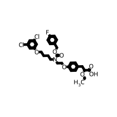 CCOC(Cc1ccc(OCCN(CCCCOc2cc(Cl)cc(Cl)c2)C(=O)OCc2ccc(F)cc2)cc1)C(=O)O